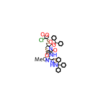 CO/N=C(\C(=O)N[C@@H]1C(=O)N2C(C(=O)OC(c3ccccc3)c3ccccc3)=C(CSC3=C(Cl)C(=O)OC3)CS[C@H]12)c1csc(NC(c2ccccc2)(c2ccccc2)c2ccccc2)n1